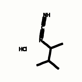 CC(C)C(C)N=C=N.Cl